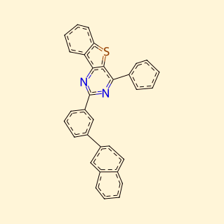 c1ccc(-c2nc(-c3cccc(-c4ccc5ccccc5c4)c3)nc3c2sc2ccccc23)cc1